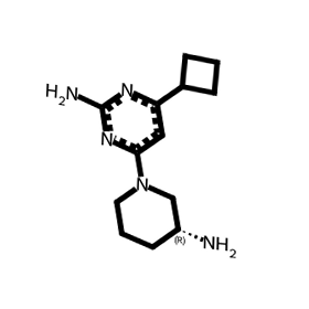 Nc1nc(C2CCC2)cc(N2CCC[C@@H](N)C2)n1